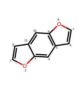 [c]1coc2cc3ccoc3cc12